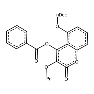 CCCCCCCCCCOc1cccc2oc(=O)c(OC(C)C)c(OC(=O)c3ccccc3)c12